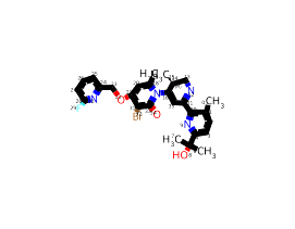 Cc1ccc(C(C)(C)O)nc1C1=NC[C@@H](C)C(n2c(C)cc(OCc3cccc(F)n3)c(Br)c2=O)=C1